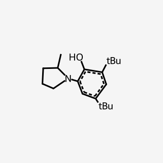 CC1CCCN1c1cc(C(C)(C)C)cc(C(C)(C)C)c1O